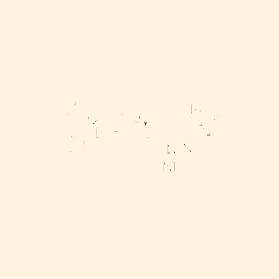 CC1(C)OB(c2ccc(-c3cc(C(F)(F)F)nn3N)nc2)OC1(C)C